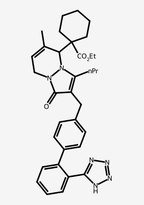 CCCc1c(Cc2ccc(-c3ccccc3-c3nnn[nH]3)cc2)c(=O)n2n1C(C1(C(=O)OCC)CCCCC1)C(C)=CC2